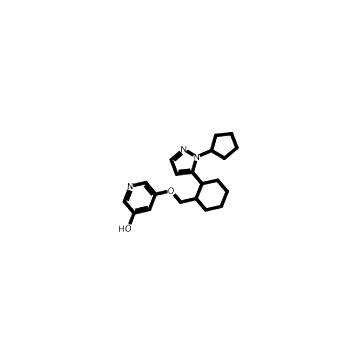 Oc1cncc(OCC2CCCCC2c2ccnn2C2CCCC2)c1